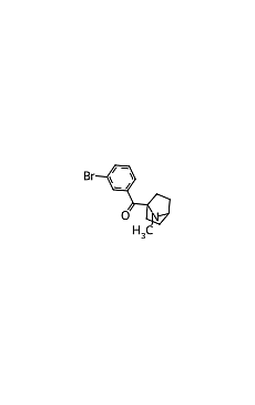 CN1C2CCC1(C(=O)c1cccc(Br)c1)CC2